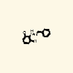 Clc1cccc(Cl)c1NOCc1ccccc1